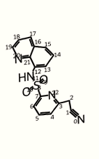 N#CCc1cccc(S(=O)(=O)Nc2cccc3cccnc23)n1